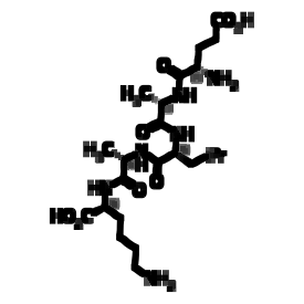 CC(C)C[C@H](NC(=O)[C@H](C)NC(=O)[C@@H](N)CCC(=O)O)C(=O)N[C@@H](C)C(=O)N[C@@H](CCCCN)C(=O)O